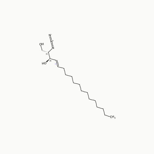 CCCCCCCCCCCCC/C=C/[C@@H](O)[C@H](CO)N=[N+]=[N-]